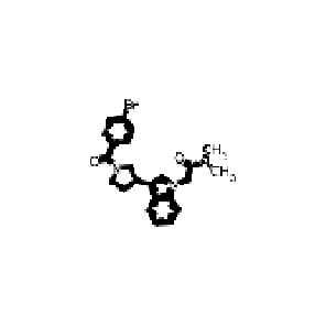 CN(C)C(=O)Cn1cc(C2CCN(C(=O)c3ccc(Br)cc3)C2)c2ccccc21